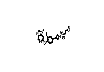 CCc1cc(C2CN(S(=O)(=O)CCOC)C2)ccc1N(C)c1cc2c(cn1)ncn2C